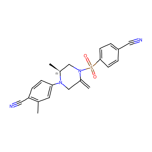 C=C1CN(c2ccc(C#N)c(C)c2)[C@@H](C)CN1S(=O)(=O)c1ccc(C#N)cc1